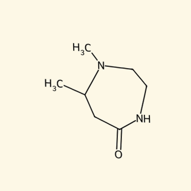 CC1CC(=O)NCCN1C